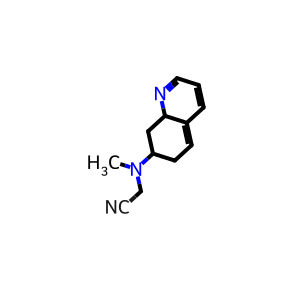 CN(CC#N)C1CC=C2C=CC=NC2C1